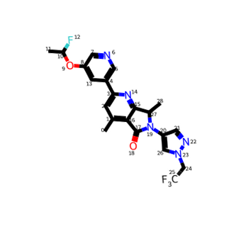 Cc1cc(-c2cncc(OC(C)F)c2)nc2c1C(=O)N(c1cnn(CC(F)(F)F)c1)C2C